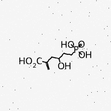 C=C(CC(O)CCP(=O)(O)O)C(=O)O